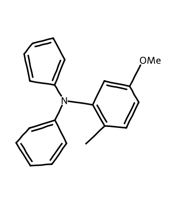 COc1ccc(C)c(N(c2ccccc2)c2ccccc2)c1